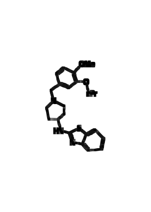 CCCOc1cc(CN2CCC(Nc3nc4ccccc4s3)CC2)ccc1OC